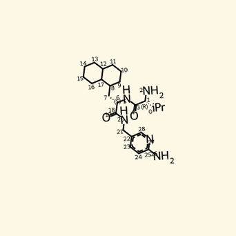 CC(C)[C@@H](N)C(=O)N[C@@H](CC1CCCC2CCCCC21)C(=O)NCc1ccc(N)nc1